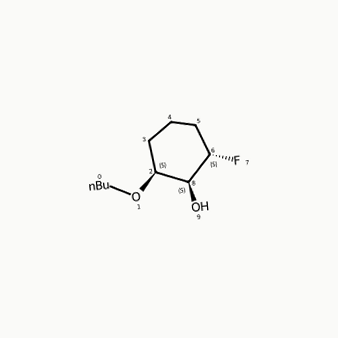 CCCCO[C@H]1CCC[C@H](F)[C@H]1O